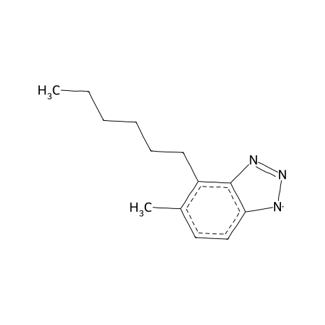 CCCCCCc1c(C)ccc2c1N=N[N]2